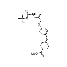 C=C(CNC(=O)OC(C)(C)CC)COc1ccc(SN2CCC(C(=O)OC)CC2)cn1